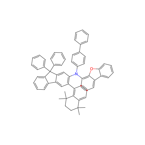 CC1(C)CCC(C)(C)c2c(-c3cc4c(cc3N(c3ccc(-c5ccccc5)cc3)c3cccc5c3oc3ccccc35)C(c3ccccc3)(c3ccccc3)c3ccccc3-4)cccc21